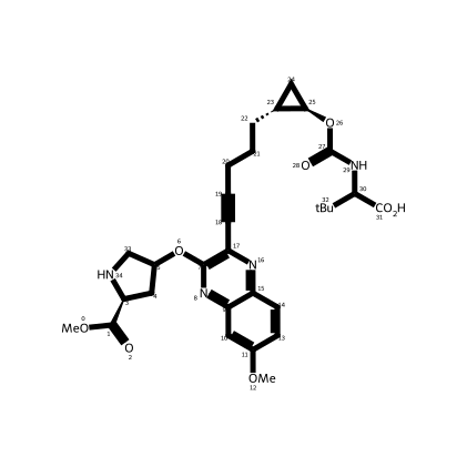 COC(=O)[C@@H]1CC(Oc2nc3cc(OC)ccc3nc2C#CCCC[C@@H]2C[C@H]2OC(=O)NC(C(=O)O)C(C)(C)C)CN1